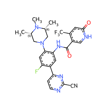 C[C@@H]1CN(c2cc(F)c(-c3ccnc(C#N)n3)cc2NC(=O)c2c[nH]c(=O)cc2C(F)(F)F)C[C@H](C)N1C